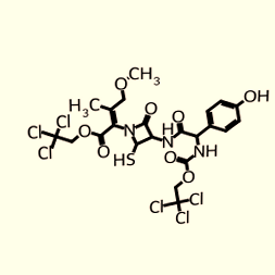 COCC(C)=C(C(=O)OCC(Cl)(Cl)Cl)N1C(=O)C(NC(=O)C(NC(=O)OCC(Cl)(Cl)Cl)c2ccc(O)cc2)C1S